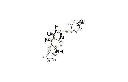 O=c1[nH]c(CSC2CC[S+]([O-])CC2)nc2cc(NC3CCCC3)cc(F)c12